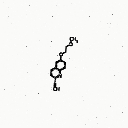 C#Cc1ccc2cc(OCCOC)ccc2n1